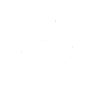 O=P([O-])([O-])C(O)(CO)P(=O)([O-])[O-].[K+].[K+].[K+].[K+]